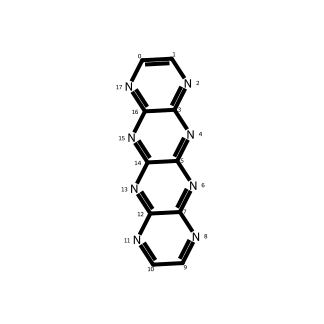 c1cnc2nc3nc4nccnc4nc3nc2n1